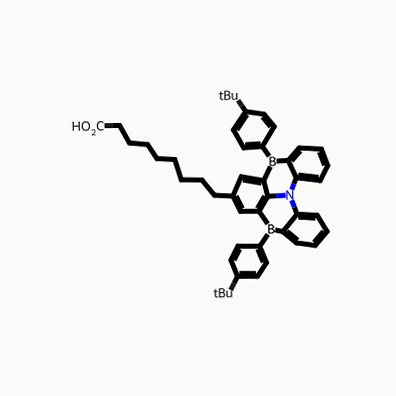 CC(C)(C)c1ccc(B2c3ccccc3N3c4ccccc4B(c4ccc(C(C)(C)C)cc4)c4cc(CCCCCCCCC(=O)O)cc2c43)cc1